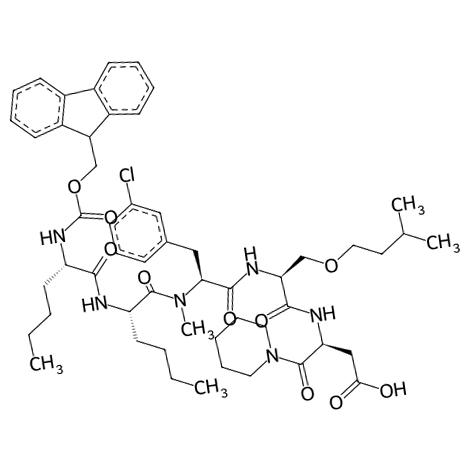 CCCC[C@H](NC(=O)OCC1c2ccccc2-c2ccccc21)C(=O)N[C@@H](CCCC)C(=O)N(C)[C@@H](Cc1cccc(Cl)c1)C(=O)N[C@@H](COCCC(C)C)C(=O)N[C@@H](CC(=O)O)C(=O)N1CCCCC1